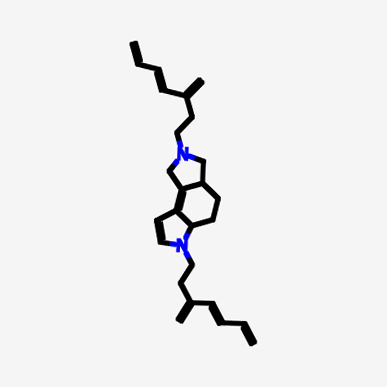 C=CC=CC(=C)CCN1CC2=C3C=CN(CCC(=C)C=CC=C)C3CCC2C1